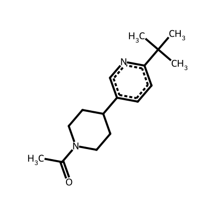 CC(=O)N1CCC(c2ccc(C(C)(C)C)nc2)CC1